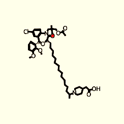 COc1cccc([C@H]2O[C@H](CCCCCCCCCCCCCCC(C)N3CCC(CC(=O)O)CC3)C(=O)N(CC(C)(C)COC(C)=O)c3ccc(Cl)cc32)c1OC